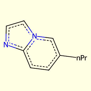 CCCc1ccc2nccn2c1